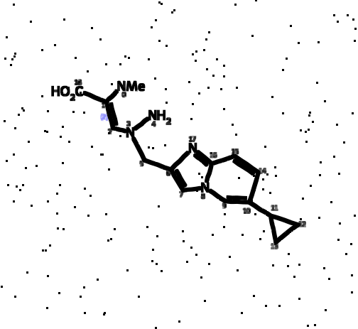 CN/C(=C\N(N)Cc1cn2cc(C3CC3)ccc2n1)C(=O)O